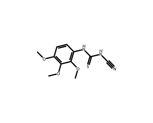 COc1ccc(NC(=S)NC#N)c(OC)c1OC